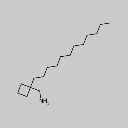 CCCCCCCCCCCCC1(CN)CCC1